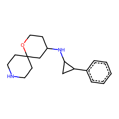 c1ccc(C2CC2NC2CCOC3(CCNCC3)C2)cc1